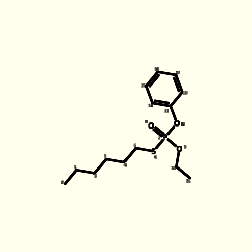 CCCCCCSP(=O)(OCC)Oc1ccccc1